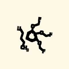 FCOc1cccc(OCF)c1OCF.[Li][CH2]CCC